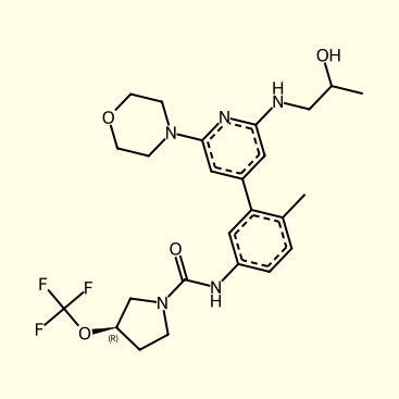 Cc1ccc(NC(=O)N2CC[C@@H](OC(F)(F)F)C2)cc1-c1cc(NCC(C)O)nc(N2CCOCC2)c1